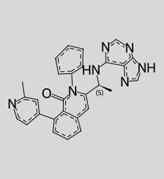 Cc1cc(-c2cccc3cc([C@H](C)Nc4ncnc5[nH]cnc45)n(-c4ccccc4)c(=O)c23)ccn1